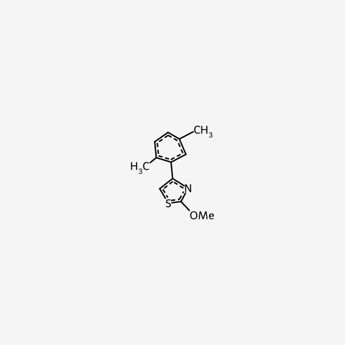 COc1nc(-c2cc(C)ccc2C)cs1